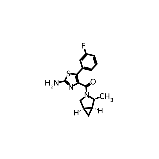 C[C@H]1[C@H]2C[C@H]2CN1C(=O)c1nc(N)sc1-c1cccc(F)c1